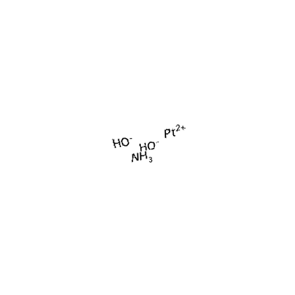 N.[OH-].[OH-].[Pt+2]